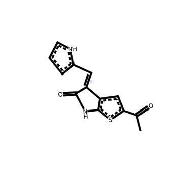 CC(=O)c1cc2c(s1)NC(=O)/C2=C\c1ccc[nH]1